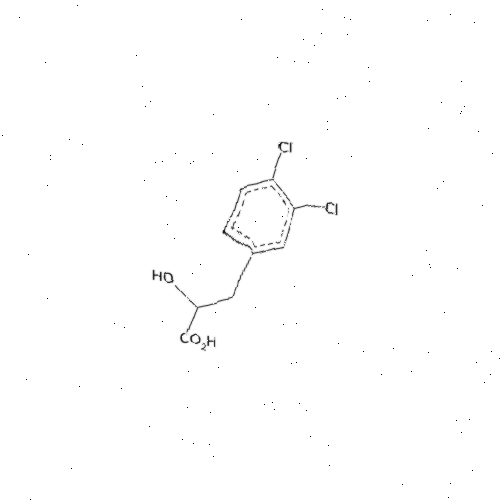 O=C(O)C(O)Cc1ccc(Cl)c(Cl)c1